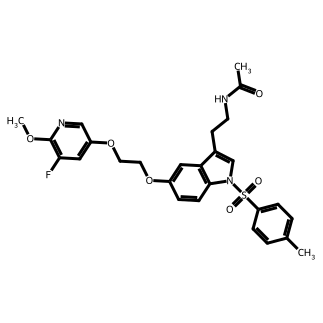 COc1ncc(OCCOc2ccc3c(c2)c(CCNC(C)=O)cn3S(=O)(=O)c2ccc(C)cc2)cc1F